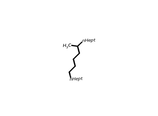 C[CH]CCCCCC(C)CCCCCCCCCCC